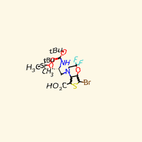 CC(C)(C)OC(=O)N[C@@H](CO[Si](C)(C)C(C)(C)C)CN1CC(F)(F)Oc2c(Br)sc(C(=O)O)c21